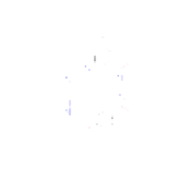 O=C(c1cc(F)cc(N2CCNCC2)c1)N1CCN(C(=O)c2ccc(O[C@H]3CCNC3)c(C3CCCCC3)c2)CC1